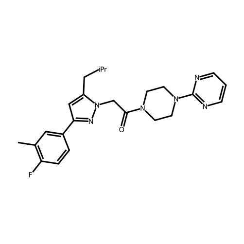 Cc1cc(-c2cc(CC(C)C)n(CC(=O)N3CCN(c4ncccn4)CC3)n2)ccc1F